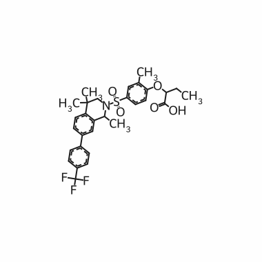 CCC(Oc1ccc(S(=O)(=O)N2CC(C)(C)c3ccc(-c4ccc(C(F)(F)F)cc4)cc3C2C)cc1C)C(=O)O